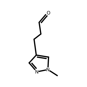 Cn1cc(CCC=O)cn1